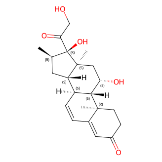 C[C@@H]1C[C@H]2[C@@H]3C=CC4=CC(=O)CC[C@]4(C)[C@H]3[C@@H](O)C[C@]2(C)[C@@]1(O)C(=O)CO